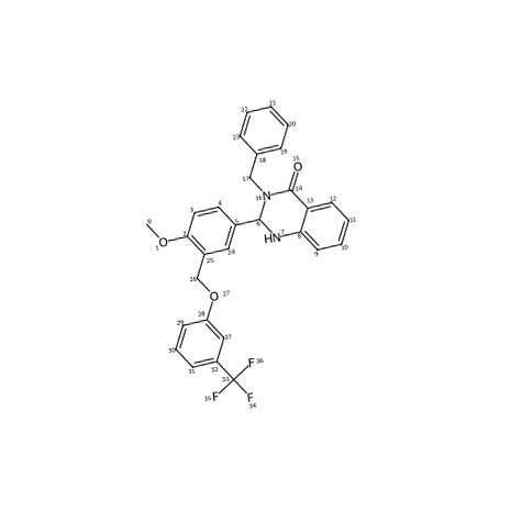 COc1ccc(C2Nc3ccccc3C(=O)N2Cc2ccccc2)cc1COc1cccc(C(F)(F)F)c1